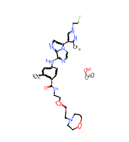 CCc1cc(Nc2nccn3c(-c4cn(CCF)nc4C(F)(F)F)cnc23)ccc1C(=O)NCCOCCN1CCOCC1.O=CO